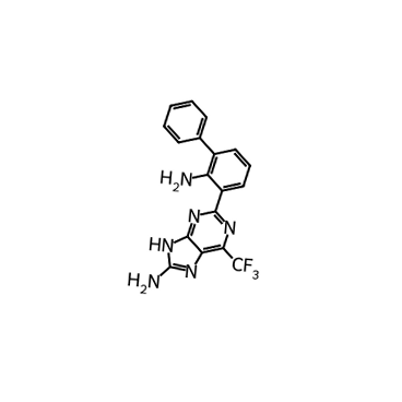 Nc1nc2c(C(F)(F)F)nc(-c3cccc(-c4ccccc4)c3N)nc2[nH]1